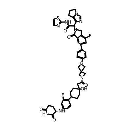 O=C1CC[C@H](Nc2ccc(C3CCC(O)(CC(=O)N4CC5(C4)CN(c4ccc(-c6cc(F)c7c(c6)C(=O)N(C(C(=O)Nc6nccs6)c6ncn8c6CCC8)C7)cc4)C5)CC3)c(F)c2)C(=O)N1